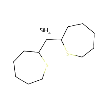 C1CCSC(CC2CCCCCS2)CC1.[SiH4]